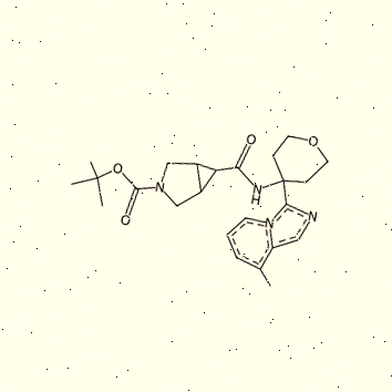 Cc1cccn2c(C3(NC(=O)C4C5CN(C(=O)OC(C)(C)C)CC54)CCOCC3)ncc12